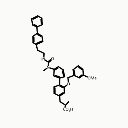 COc1cccc(COc2cc(CC(C)C(=O)O)ccc2-c2cccc(N(C)C(=O)NCCc3ccc(-c4ccccc4)cc3)c2)c1